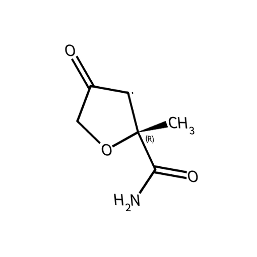 C[C@]1(C(N)=O)[CH]C(=O)CO1